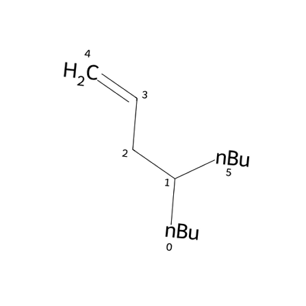 [CH2]CCCC(CC=C)CCCC